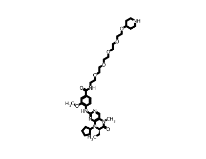 CC[C@@H]1C(=O)N(C)c2cnc(Nc3ccc(C(=O)NCCOCCOCCOCCOCCOC4CCNCC4)cc3OC)nc2N1C1CCCC1